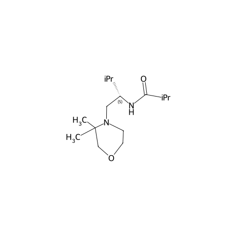 CC(C)C(=O)N[C@H](CN1CCOCC1(C)C)C(C)C